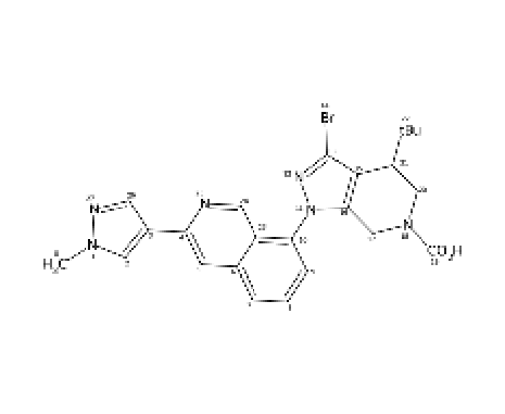 Cn1cc(-c2cc3cccc(-n4nc(Br)c5c4CN(C(=O)O)CC5C(C)(C)C)c3cn2)cn1